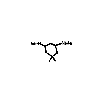 CNC1CC(NC)CC(C)(C)C1